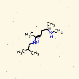 CN[C@@H](C)C/C=C(\C)NCC(C)C